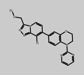 CCOCc1nnc2c(Cl)c(-c3ccc4c(c3)OCCN4c3ncccn3)ccn12